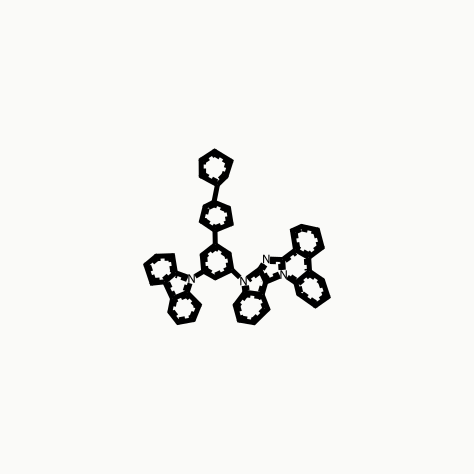 c1ccc(-c2ccc(-c3cc(-n4c5ccccc5c5ccccc54)cc(-n4c5ccccc5c5c4nc4c6ccccc6c6ccccc6n45)c3)cc2)cc1